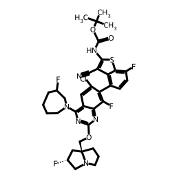 CC(C)(C)OC(=O)Nc1sc2c(F)ccc(-c3c(Cl)cc4c(N5CCCCC(F)C5)nc(OC[C@@]56CCCN5C[C@H](F)C6)nc4c3F)c2c1C#N